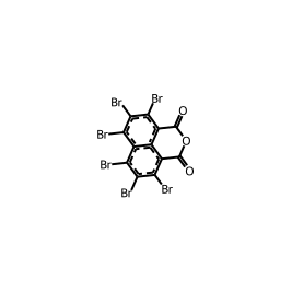 O=C1OC(=O)c2c(Br)c(Br)c(Br)c3c(Br)c(Br)c(Br)c1c23